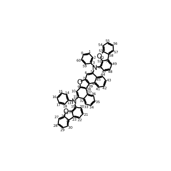 c1ccc(N(c2cc3oc4cc(N(c5ccccc5)c5cccc6c5oc5ccccc56)c5ccccc5c4c3c3ccccc23)c2cccc3c2oc2ccccc23)cc1